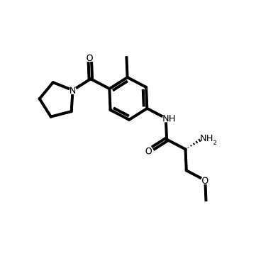 COC[C@@H](N)C(=O)Nc1ccc(C(=O)N2CCCC2)c(C)c1